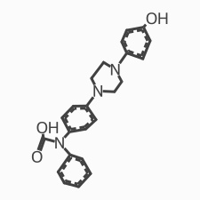 O=C(O)N(c1ccccc1)c1ccc(N2CCN(c3ccc(O)cc3)CC2)cc1